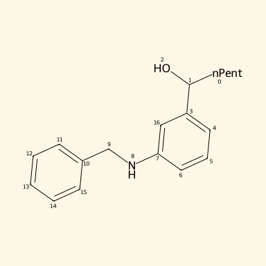 CCCCCC(O)c1cccc(NCc2ccccc2)c1